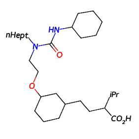 CCCCCCCN(CCOC1CCCC(CCC(C(=O)O)C(C)C)C1)C(=O)NC1CCCCC1